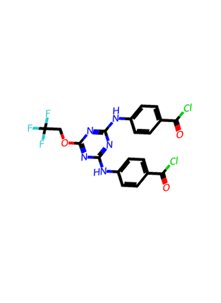 O=C(Cl)c1ccc(Nc2nc(Nc3ccc(C(=O)Cl)cc3)nc(OCC(F)(F)F)n2)cc1